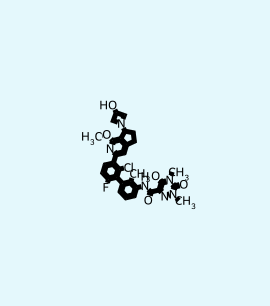 COc1nc(-c2ccc(F)c(-c3cccc(NC(=O)c4nn(C)c(=O)n(C)c4=O)c3C)c2Cl)cc2c1C(N1CC(O)C1)CC2